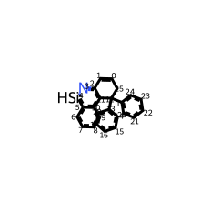 C1=Cc2n[siH]c3ccccc3c2C(c2ccccc2)(c2ccccc2)C1